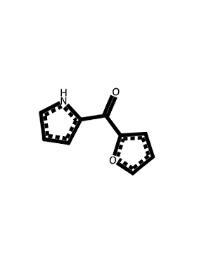 O=C(c1ccc[nH]1)c1ccco1